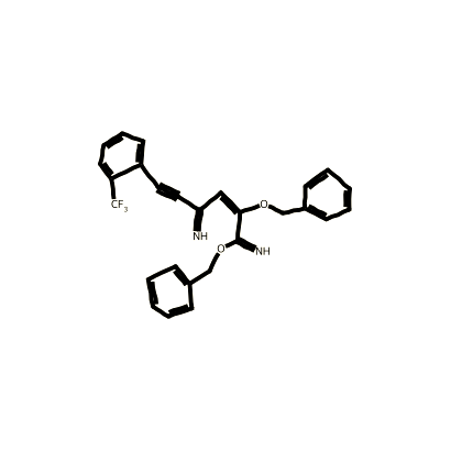 N=C(C#Cc1ccccc1C(F)(F)F)/C=C(/OCc1ccccc1)C(=N)OCc1ccccc1